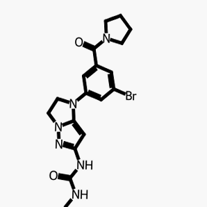 CNC(=O)Nc1cc2n(n1)CCN2c1cc(Br)cc(C(=O)N2CCCC2)c1